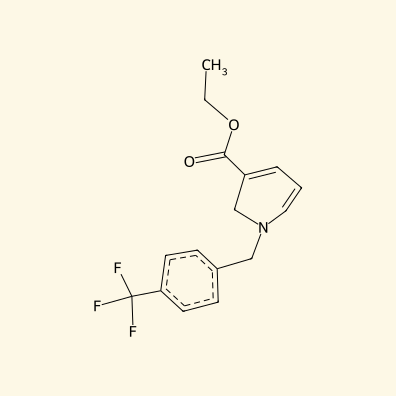 CCOC(=O)C1=CC=CN(Cc2ccc(C(F)(F)F)cc2)C1